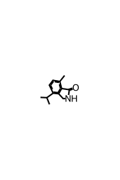 Cc1ccc(C(C)C)c2c1C(=O)NC2